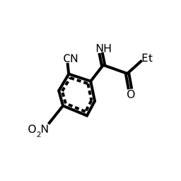 CCC(=O)C(=N)c1ccc([N+](=O)[O-])cc1C#N